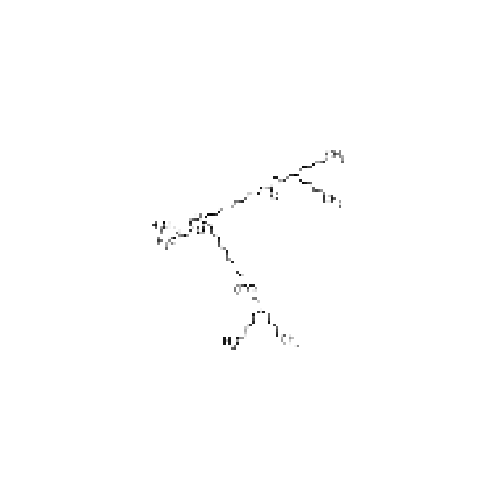 CCCCCC(CCCCC)CCOC(=O)CCCCCCCCCC1(CCCCCCCCCC(=O)OCCC(CCCCC)CCCCC)OCC(CN(C)CC)O1